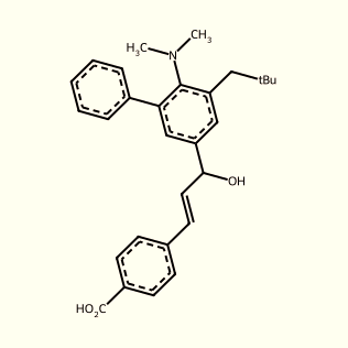 CN(C)c1c(CC(C)(C)C)cc(C(O)C=Cc2ccc(C(=O)O)cc2)cc1-c1ccccc1